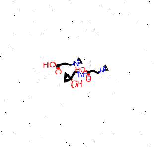 NCC1(O)CC1.O=C(O)CCN1CC1.O=C(O)CCN1CC1